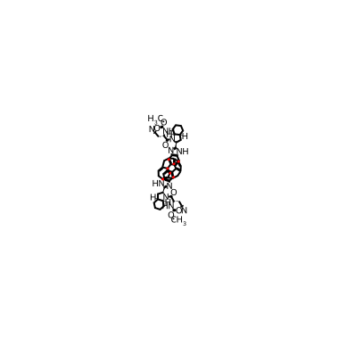 COC(=O)N[C@@H](CC#N)C(=O)N1[C@H](c2nc3cc(C4=CC5=CCC=C4CCc4ccc(c(-c6ccc7[nH]c([C@@H]8C[C@@H]9CCCC[C@@H]9N8C(=O)[C@H](CC#N)NC(=O)OC)nc7c6)c4)CC5)ccc3[nH]2)C[C@@H]2CCCC[C@@H]21